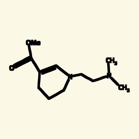 COC(=O)C1=CN(CCN(C)C)CCC1